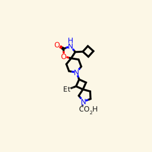 CCC1C(N2CCC3(CC2)OC(=O)NC3C2CCC2)CC12CCN(C(=O)O)C2